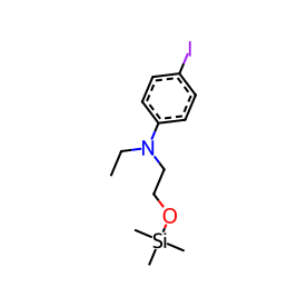 CCN(CCO[Si](C)(C)C)c1ccc(I)cc1